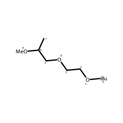 CCC(C)OCCOCC(C)OC